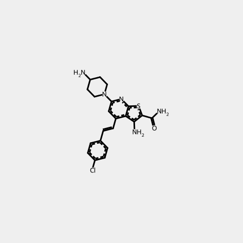 NC(=O)c1sc2nc(N3CCC(N)CC3)cc(C=Cc3ccc(Cl)cc3)c2c1N